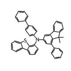 CC1(C)c2ccccc2-c2cc(N(c3ccc(-c4ccccc4)cc3)c3cccc4c3sc3ccccc34)cc(-c3ccccc3)c21